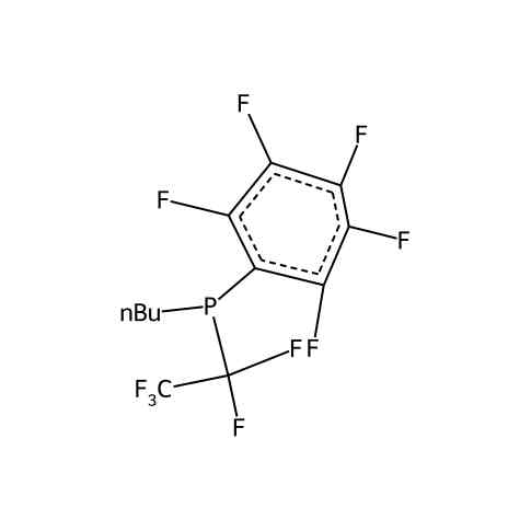 CCCCP(c1c(F)c(F)c(F)c(F)c1F)C(F)(F)C(F)(F)F